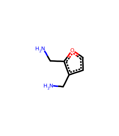 NCc1ccoc1CN